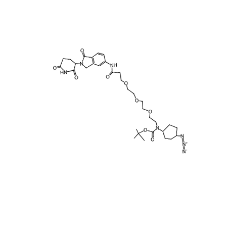 CC(C)(C)OC(=O)N(CCOCCOCCOCCC(=O)Nc1ccc2c(c1)CN(C1CCC(=O)NC1=O)C2=O)C1CCC(N=[N+]=[N-])CC1